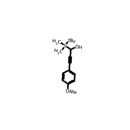 COc1ccc(C#CC(O)[Si](C)(C)C(C)(C)C)cc1